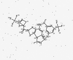 Cc1nnc2nc(NC(C)c3cc(N)cc(C(F)(F)F)c3)c3c(n12)CN(C(=O)C12CC(C1)C(C(F)(F)F)C2)C3